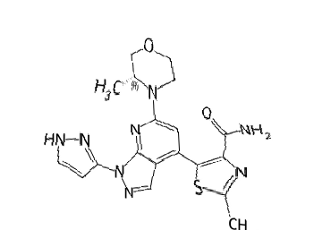 Cc1nc(C(N)=O)c(-c2cc(N3CCOC[C@H]3C)nc3c2cnn3-c2cc[nH]n2)s1